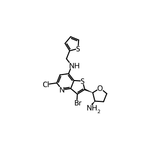 N[C@@H]1CCO[C@@H]1c1sc2c(NCc3cccs3)cc(Cl)nc2c1Br